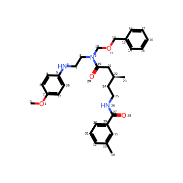 COc1ccc(NCCN(COCc2ccccc2)C(=O)C[C@@H](C)CCNC(=O)c2cccc(C)c2)cc1